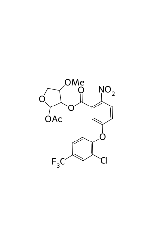 COC1COC(OC(C)=O)C1OC(=O)c1cc(Oc2ccc(C(F)(F)F)cc2Cl)ccc1[N+](=O)[O-]